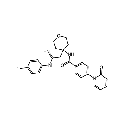 N=C(CC1(NC(=O)c2ccc(-n3ccccc3=O)cc2)CCOCC1)Nc1ccc(Cl)cc1